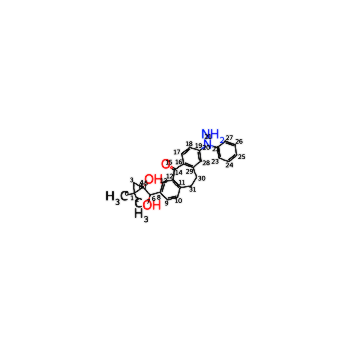 CC1(C)C[C@@]1(O)C(O)c1ccc2c(c1)C(=O)c1ccc(N(N)c3ccccc3)cc1CC2